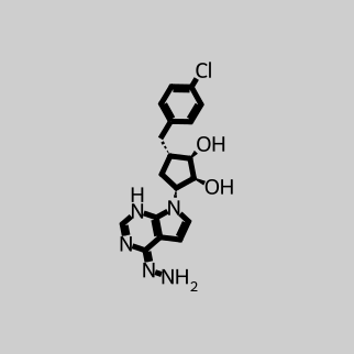 N/N=c1/nc[nH]c2c1ccn2[C@@H]1C[C@H](Cc2ccc(Cl)cc2)[C@@H](O)[C@H]1O